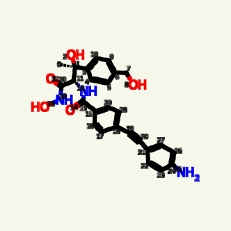 C[C@](O)(c1ccc(CO)cc1)[C@H](NC(=O)c1ccc(C#Cc2ccc(N)cc2)cc1)C(=O)NO